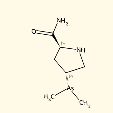 C[As](C)[C@H]1CN[C@H](C(N)=O)C1